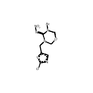 CC(=O)N1COCN(Cc2cnc(Cl)s2)/C1=N/[N+](=O)[O-]